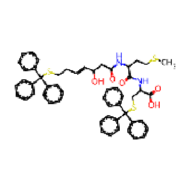 CSCCC(NC(=O)CC(O)/C=C/CCSC(c1ccccc1)(c1ccccc1)c1ccccc1)C(=O)NC(CSC(c1ccccc1)(c1ccccc1)c1ccccc1)C(=O)O